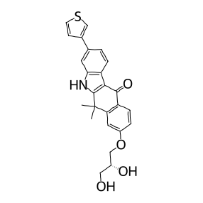 CC1(C)c2cc(OC[C@H](O)CO)ccc2C(=O)c2c1[nH]c1cc(-c3ccsc3)ccc21